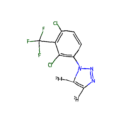 [2H]c1nnn(-c2ccc(Cl)c(C(F)(F)F)c2Cl)c1[2H]